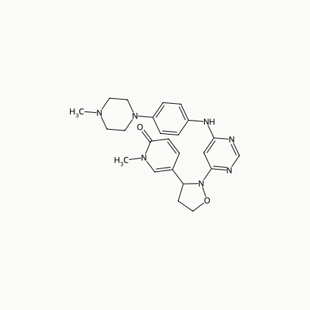 CN1CCN(c2ccc(Nc3cc(N4OCCC4c4ccc(=O)n(C)c4)ncn3)cc2)CC1